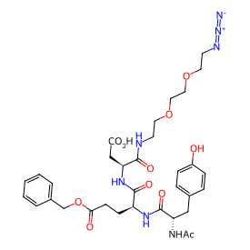 CC(=O)N[C@@H](Cc1ccc(O)cc1)C(=O)N[C@@H](CCC(=O)OCc1ccccc1)C(=O)N[C@@H](CC(=O)O)C(=O)NCCOCCOCCN=[N+]=[N-]